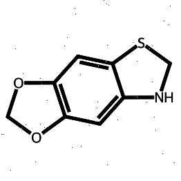 c1c2c(cc3c1OCO3)SCN2